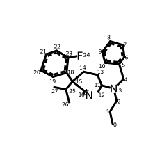 CCCN(Cc1ccccc1)C(C)CCC(C#N)(c1ccccc1F)C(C)C